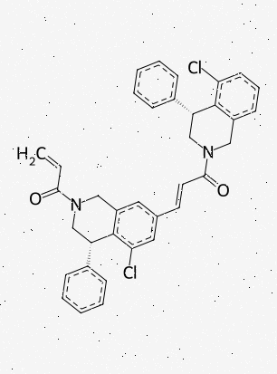 C=CC(=O)N1Cc2cc(/C=C/C(=O)N3Cc4cccc(Cl)c4[C@@H](c4ccccc4)C3)cc(Cl)c2[C@H](c2ccccc2)C1